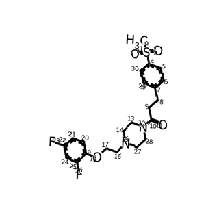 CS(=O)(=O)c1ccc(CCC(=O)N2CCN(CCOc3ccc(F)cc3F)CC2)cc1